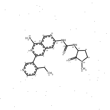 CCc1ccncc1-c1cc2cc(NC(=O)NC3CCN(C)C3=O)ncc2c(N)n1